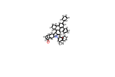 N#Cc1cc2c(c3c1C1CCC3CC1)c1cc(-c3c(-c4ccccc4)cc(-c4ccccc4)cc3-c3ccccc3)cc3c4cc5c(cc4n2c31)C(=O)C1CC5C1